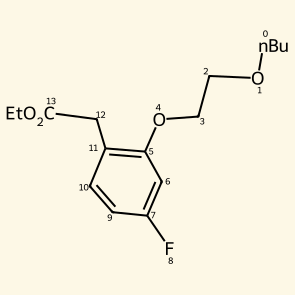 CCCCOCCOc1cc(F)ccc1CC(=O)OCC